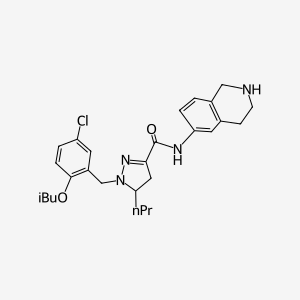 CCCC1CC(C(=O)Nc2ccc3c(c2)CCNC3)=NN1Cc1cc(Cl)ccc1OCC(C)C